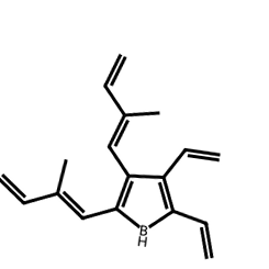 C=CC1=C(C=C)C(/C=C(\C)C=C)=C(/C=C(\C)C=C)B1